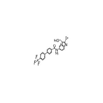 O=C(Nc1ccc2nc(C3CC3)c(CO)n2c1)c1ccc(-c2ccc(C(F)(F)F)cc2)cc1